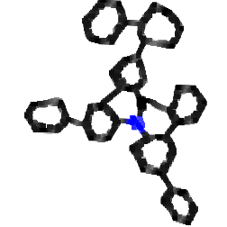 c1ccc(-c2ccc3c(c2)-c2ccccc2B2c4cc(-c5ccccc5-c5ccccc5)ccc4-c4cc(-c5ccccc5)ccc4N23)cc1